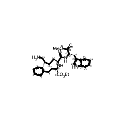 CCOC(=O)[C@@H](CCc1ccccc1)N[C@@H](CCCCN)C(=O)N[C@@H](Cc1c[nH]c2ccccc12)C(=O)OC